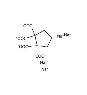 O=C([O-])C1(C(=O)[O-])CCCC1(C(=O)[O-])C(=O)[O-].[Na+].[Na+].[Na+].[Na+]